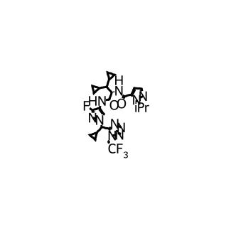 CC(C)n1nccc1C(=O)N[C@H](C(=O)Nc1cn(C(c2nnnn2CC(F)(F)F)C2CC2)nc1F)C(C1CC1)C1CC1